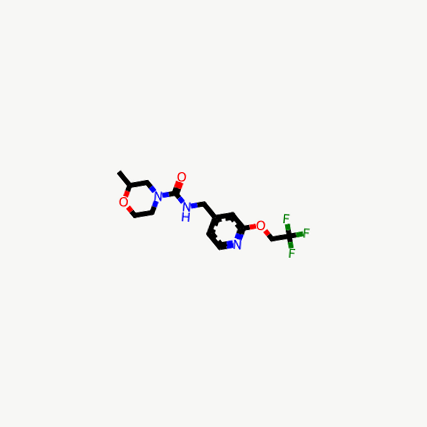 CC1CN(C(=O)NCc2ccnc(OCC(F)(F)F)c2)CCO1